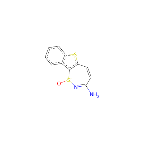 NC1=N[S+]([O-])c2c(sc3ccccc23)C=C1